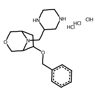 Cl.Cl.Cl.c1ccc(COC2CC3COCC2N3CC2CNCCN2)cc1